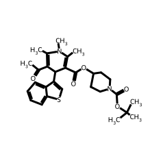 CC(=O)C1=C(C)N(C)C(C)=C(C(=O)OC2CCN(C(=O)OC(C)(C)C)CC2)C1c1csc2ccccc12